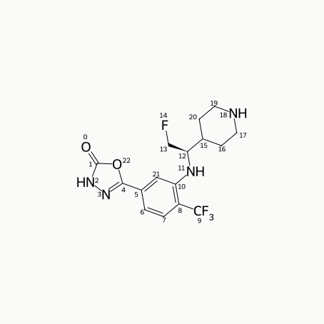 O=c1[nH]nc(-c2ccc(C(F)(F)F)c(N[C@@H](CF)C3CCNCC3)c2)o1